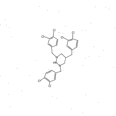 Clc1ccc(CC2CN(Cc3ccc(Cl)c(Cl)c3)NN(Cc3ccc(Cl)c(Cl)c3)C2)cc1Cl